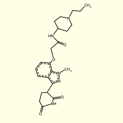 CCCN1CCC(NC(=O)COc2cccc3c(C4CCC(=O)NC4=O)nn(C)c23)CC1